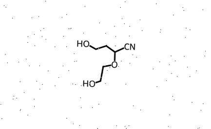 N#CC(CCO)OCCO